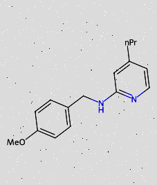 CCCc1ccnc(NCc2ccc(OC)cc2)c1